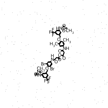 CCS(=O)(=O)Nc1cc(COc2c(C)cc(NC(=O)CC(=O)OC(=O)CC(=O)Nc3cc(Br)c(OCc4cc(NS(=O)(=O)CC)cc(C(F)(F)F)c4)c(Br)c3)cc2C)cc(C(F)(F)F)c1